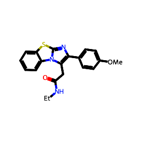 CCNC(=O)Cc1c(-c2ccc(OC)cc2)nc2sc3ccccc3n12